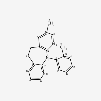 Cc1cnc2c(c1)CCc1cccnc1N2c1ccccc1C